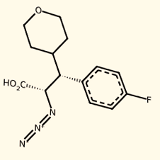 [N-]=[N+]=N[C@H](C(=O)O)[C@@H](c1ccc(F)cc1)C1CCOCC1